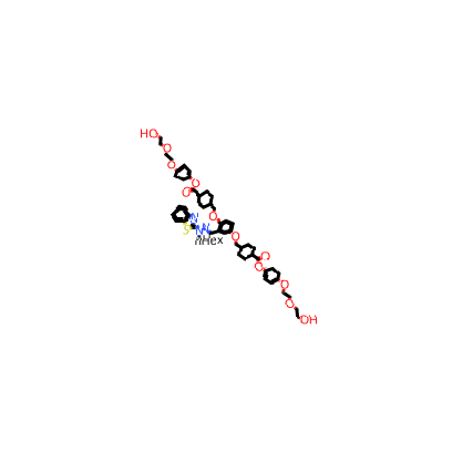 CCCCCCN(/N=C/c1cc(OCC2CCC(C(=O)OC3=CC=C(OCCOCCO)CC3)CC2)ccc1OCC1CCC(C(=O)OC2=CC=C(OCCOCCO)CC2)CC1)c1nc2ccccc2s1